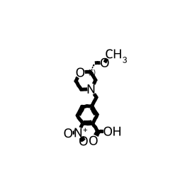 COC[C@@H]1CN(Cc2ccc([N+](=O)[O-])c(C(=O)O)c2)CCO1